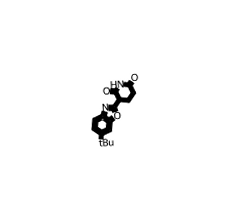 CC(C)(C)c1ccc2nc(C3CCC(=O)NC3=O)oc2c1